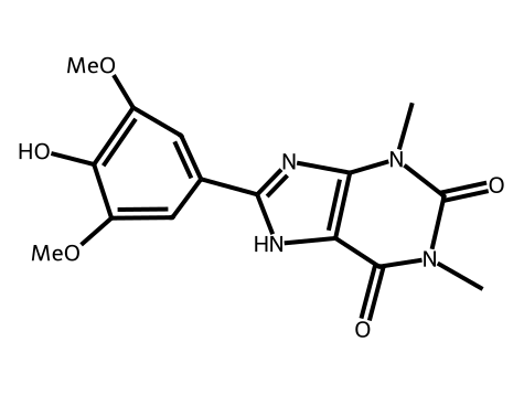 COc1cc(-c2nc3c([nH]2)c(=O)n(C)c(=O)n3C)cc(OC)c1O